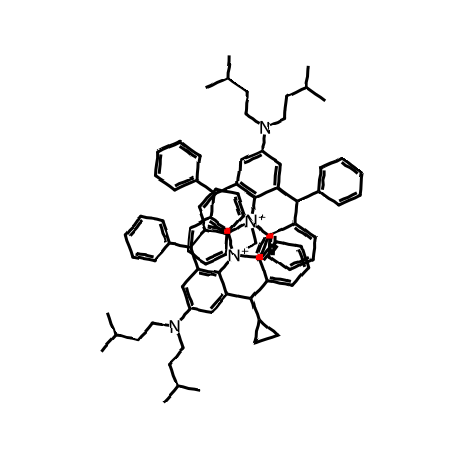 CC(C)CCN(CCC(C)C)c1cc(C(c2ccccc2)c2ccccc2)c([N+]23C=C[N+](c4c(C(c5ccccc5)c5ccccc5)cc(N(CCC(C)C)CCC(C)C)cc4C(c4ccccc4)C4CC4)(C2)C3)c(C(c2ccccc2)c2ccccc2)c1